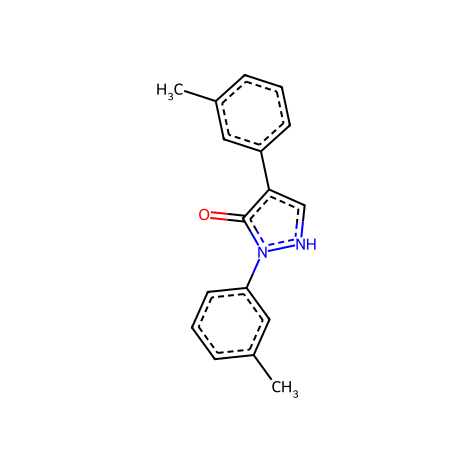 Cc1cccc(-c2c[nH]n(-c3cccc(C)c3)c2=O)c1